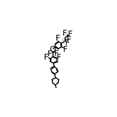 CC1CCC(c2ccc(-c3cc(F)c(C(F)(F)Oc4cc(F)c(/C(F)=C/C(F)(F)F)c(F)c4)c(F)c3)cc2)CC1